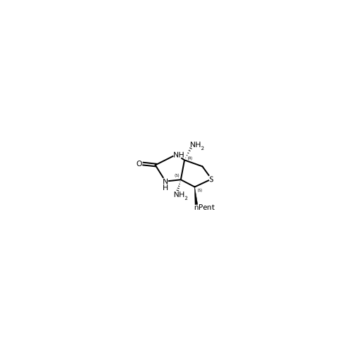 CCCCC[C@@H]1SC[C@]2(N)NC(=O)N[C@]12N